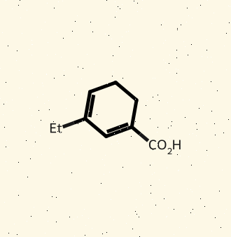 CCC1=CCCC(C(=O)O)=C1